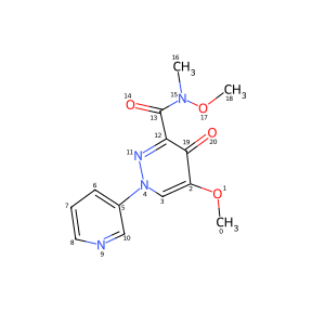 COc1cn(-c2cccnc2)nc(C(=O)N(C)OC)c1=O